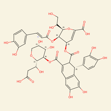 O=C(O)CC(O)[C@@H]1OC[C@H](O)[C@H](O)[C@H]1OC(=O)C1=Cc2cc(O)c(O)cc2[C@@H](c2ccc(O)c(O)c2)C1C(=O)O[C@@H]1C=C(C(=O)O)O[C@H](C(O)CO)[C@@H]1OC(=O)/C=C/c1ccc(O)c(O)c1